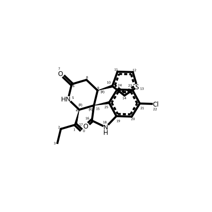 C=C(CC)[C@H]1NC(=O)C[C@@H](c2ccsc2)[C@]12C(=O)Nc1cc(Cl)ccc12